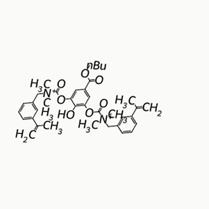 C=C(C)c1cccc(C[N+](C)(C)C(=O)Oc2cc(C(=O)OCCCC)cc(OC(=O)[N+](C)(C)Cc3cccc(C(=C)C)c3)c2O)c1